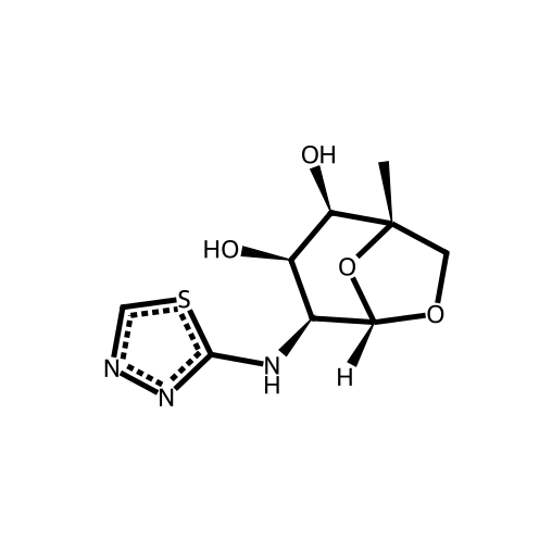 C[C@@]12CO[C@@H](O1)[C@@H](Nc1nncs1)[C@@H](O)[C@H]2O